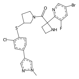 Cn1cc(-c2ccc(SC3CCN(C(=O)C4(c5ncc(Br)cc5F)CCN4)C3)c(Cl)c2)cn1